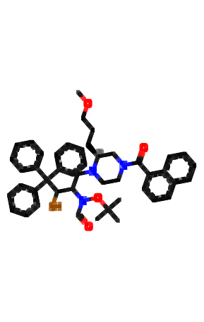 COCCC[C@H]1CN(C(=O)c2cccc3ccccc23)CCN1CC(C(S)C(c1ccccc1)(c1ccccc1)c1ccccc1)N(C=O)OC(C)(C)C